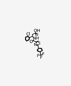 O=C(O)CC(NC(=O)c1csc(-c2ccc(C(F)(F)F)cc2)n1)c1ccccc1Cl